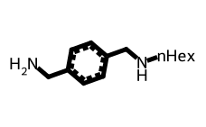 CCCCCCNCc1ccc(CN)cc1